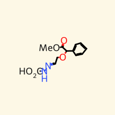 COC(=O)C(OCC=NNC(=O)O)c1ccccc1